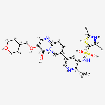 COc1ncc(-c2ccc3ncc(OCC4CCOCC4)c(=O)n3c2)cc1NS(=O)(=O)c1sc(C)nc1C